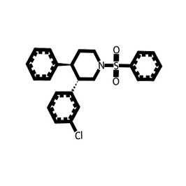 O=S(=O)(c1ccccc1)N1CC[C@H](c2ccccc2)[C@@H](c2cccc(Cl)c2)C1